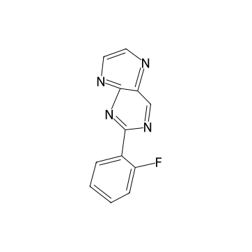 Fc1ccccc1-c1ncc2nccnc2n1